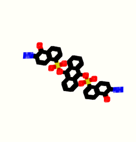 N=C1C=Cc2c(cccc2S(=O)(=O)Oc2c3ccccc3c(OS(=O)(=O)c3cccc4c3C=CC(=N)C4=O)c3ccccc23)C1=O